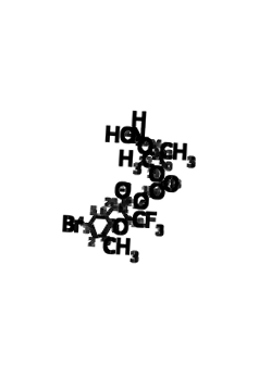 Cc1cc(Br)cc2c1OC(C(F)(F)F)C(C(=O)OCOC(=O)OCC(C)(C)CONO)=C2